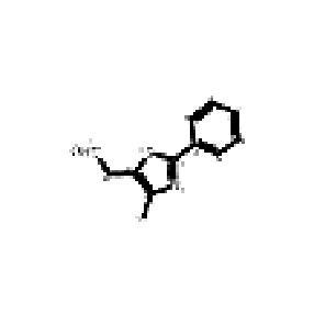 Cc1nc(-c2ccccc2)sc1CC=O